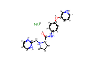 Cl.O=C(Nc1ccc(Oc2cccnc2)cc1)[C@H]1CCCN1Cc1ncccn1